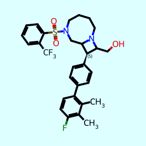 Cc1c(F)ccc(-c2ccc([C@@H]3C(CO)N4CCCCN(S(=O)(=O)c5ccccc5C(F)(F)F)CC34)cc2)c1C